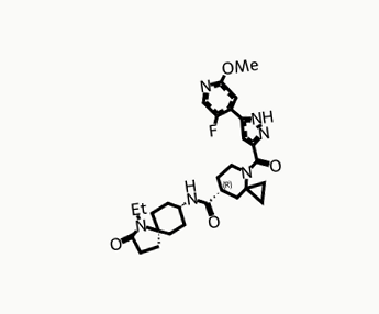 CCN1C(=O)CC[C@]12CC[C@@H](NC(=O)[C@@H]1CCN(C(=O)c3cc(-c4cc(OC)ncc4F)[nH]n3)C3(CC3)C1)CC2